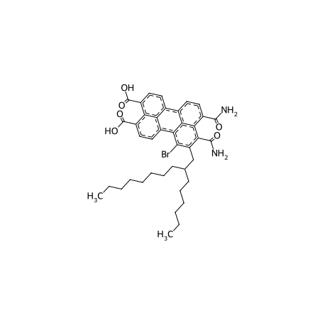 CCCCCCCCC(CCCCCC)Cc1c(C(N)=O)c2c(C(N)=O)ccc3c4ccc(C(=O)O)c5c(C(=O)O)ccc(c(c1Br)c23)c54